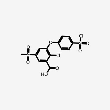 CS(=O)(=O)c1cc(Oc2ccc(S(=O)(=O)Cl)cc2)c(Cl)c(C(=O)O)c1